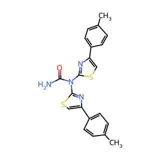 Cc1ccc(-c2csc(N(C(N)=O)c3nc(-c4ccc(C)cc4)cs3)n2)cc1